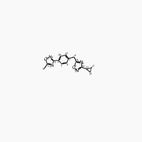 Cc1nc(-c2ccc(Cc3nc(C4CC4)no3)cc2)no1